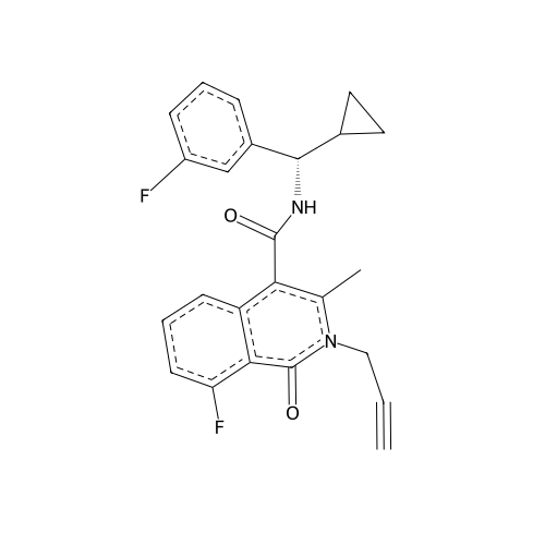 C#CCn1c(C)c(C(=O)N[C@H](c2cccc(F)c2)C2CC2)c2cccc(F)c2c1=O